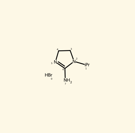 Br.CC(C)N1CCN=C1N